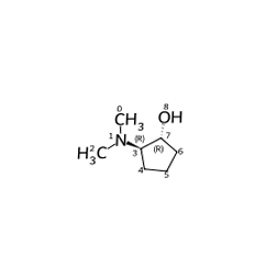 CN(C)[C@@H]1CCC[C@H]1O